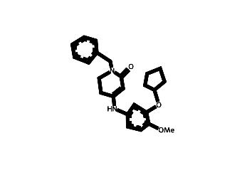 COc1ccc(NC2=CC(=O)N(Cc3ccccc3)CC2)cc1OC1CCCC1